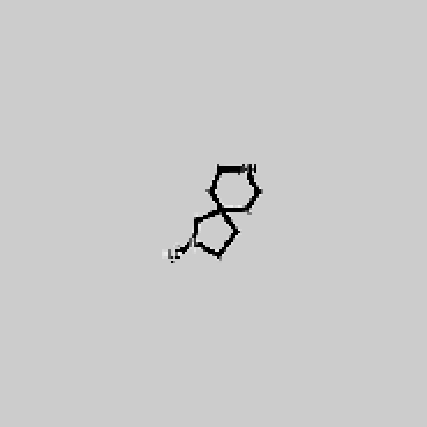 BN1CCC2(CCNCC2)C1